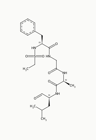 CCS(=O)(=O)N[C@@H](Cc1ccccc1)C(=O)NCC(=O)N[C@@H](C)C(=O)N[C@H](C=O)CC(C)C